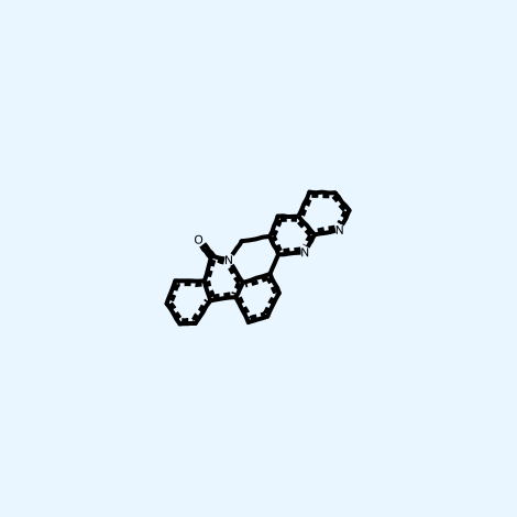 O=c1c2ccccc2c2cccc3c2n1Cc1cc2cccnc2nc1-3